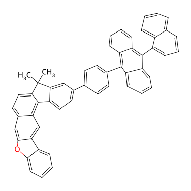 CC1(C)c2cc(-c3ccc(-c4c5ccccc5c(-c5cccc6ccccc56)c5ccccc45)cc3)ccc2-c2c1ccc1cc3oc4ccccc4c3cc21